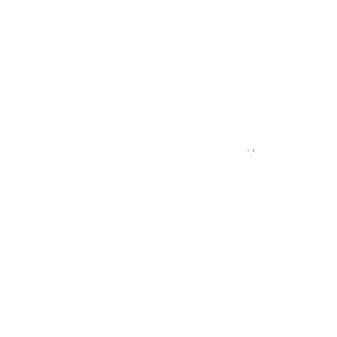 COc1ccccc1O[SiH](Cc1ccccc1)Cc1ccccc1